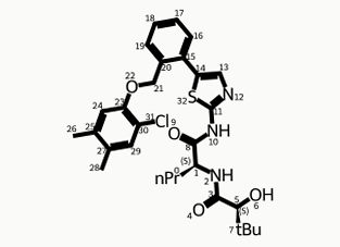 CCC[C@H](NC(=O)[C@@H](O)C(C)(C)C)C(=O)Nc1ncc(-c2ccccc2COc2cc(C)c(C)cc2Cl)s1